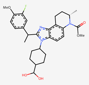 COC(=O)N1c2ccc3c(nc(C(C)c4ccc(OC)c(F)c4)n3C3CCC(C(O)O)CC3)c2CC[C@@H]1C